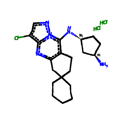 Cl.Cl.N[C@@H]1CC[C@@H](Nc2c3c(nc4c(Cl)cnn24)CC2(CCCCC2)CC3)C1